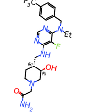 CCN(Cc1ccc(C(F)(F)F)cc1)c1ncnc(NC[C@H]2CCN(CC(N)=O)C[C@@H]2O)c1F